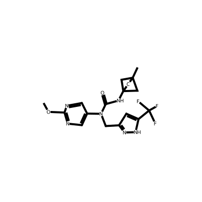 COc1ncc(N(Cc2cc(C(F)(F)F)[nH]n2)C(=O)NC23CC(C)(C2)C3)cn1